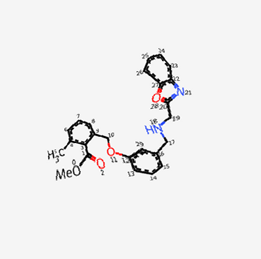 COC(=O)c1c(C)cccc1COc1cccc(CNCc2nc3ccccc3o2)c1